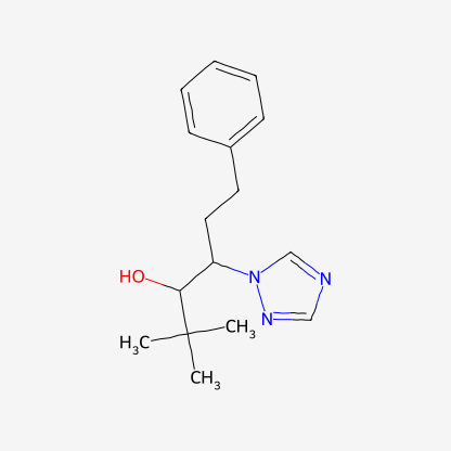 CC(C)(C)C(O)C(CCc1ccccc1)n1cncn1